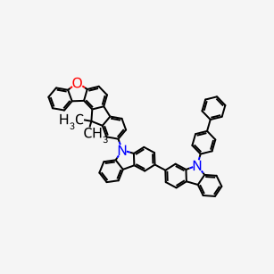 CC1(C)c2cc(-n3c4ccccc4c4cc(-c5ccc6c7ccccc7n(-c7ccc(-c8ccccc8)cc7)c6c5)ccc43)ccc2-c2ccc3oc4ccccc4c3c21